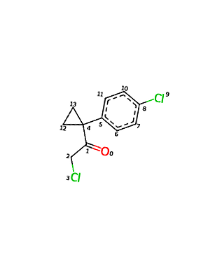 O=C(CCl)C1(c2ccc(Cl)cc2)CC1